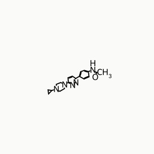 CC(=O)Nc1ccc(-c2ccc(N3CCN(C4CC4)CC3)nn2)cc1